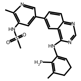 CC1=C(P)C(Nc2ncnc3ccc(-c4cnc(C)c(NS(C)(=O)=O)c4)cc23)=CCC1